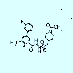 CC(=O)N1CCC(CS(=O)(=O)NNC(=O)c2cc(-c3cccc(F)c3)cc(C)c2F)CC1